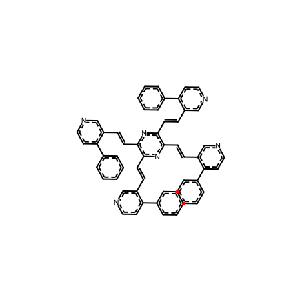 C(=Cc1nc(C=Cc2cnccc2-c2ccccc2)c(C=Cc2cnccc2-c2ccccc2)nc1C=Cc1cnccc1-c1ccccc1)c1cnccc1-c1ccccc1